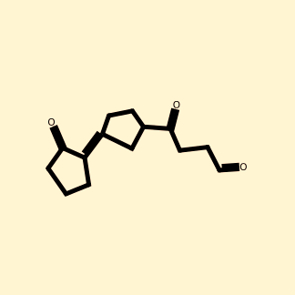 O=CCCC(=O)C1CC/C(=C2/CCCC2=O)C1